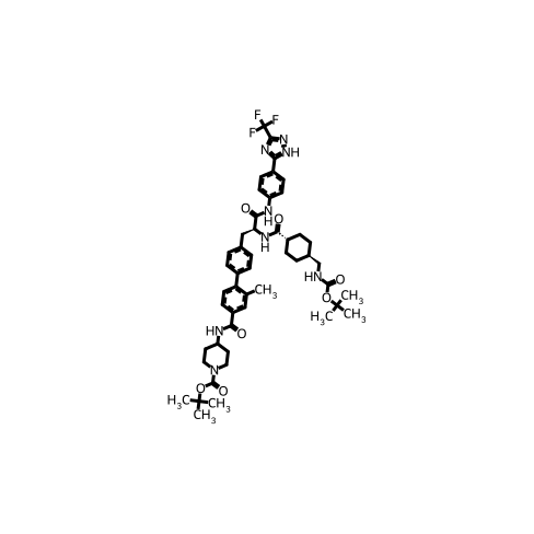 Cc1cc(C(=O)NC2CCN(C(=O)OC(C)(C)C)CC2)ccc1-c1ccc(C[C@H](NC(=O)[C@H]2CC[C@H](CNC(=O)OC(C)(C)C)CC2)C(=O)Nc2ccc(-c3nc(C(F)(F)F)n[nH]3)cc2)cc1